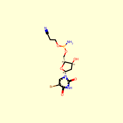 N#CCCOP(N)OC[C@H]1O[C@@H](n2cc(Br)c(=O)[nH]c2=O)C[C@@H]1O